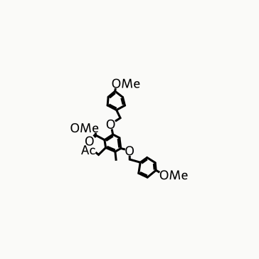 COC(=O)c1c(OCc2ccc(OC)cc2)cc(OCc2ccc(OC)cc2)c(C)c1CC(C)=O